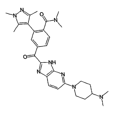 Cc1nn(C)c(C)c1-c1cc(C(=O)c2nc3ccc(N4CCC(N(C)C)CC4)nc3[nH]2)ccc1C(=O)N(C)C